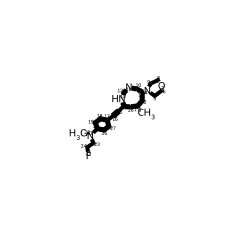 Cc1cc(N2CCOCC2)cnc[nH]c(C#Cc2ccc(N(C)CCF)cc2)c1